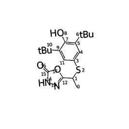 CC(Sc1cc(C(C)(C)C)c(O)c(C(C)(C)C)c1)c1n[nH]c(=O)o1